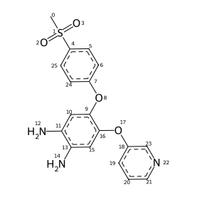 CS(=O)(=O)c1ccc(Oc2cc(N)c(N)cc2Oc2cccnc2)cc1